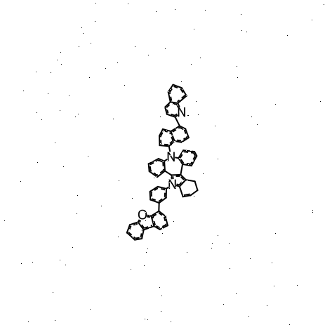 C1=Cc2c(c3c(n2-c2cccc(-c4cccc5c4oc4ccccc45)c2)-c2ccccc2N(c2cccc4c(-c5ccc6ccccc6n5)cccc24)c2ccccc2-3)CC1